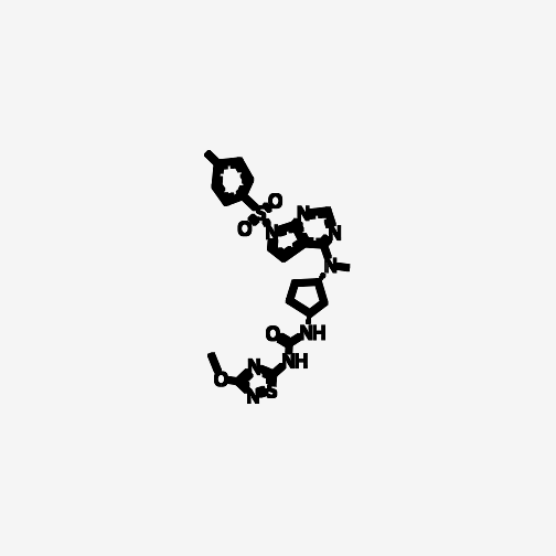 COc1nsc(NC(=O)N[C@@H]2CC[C@H](N(C)c3ncnc4c3ccn4S(=O)(=O)c3ccc(C)cc3)C2)n1